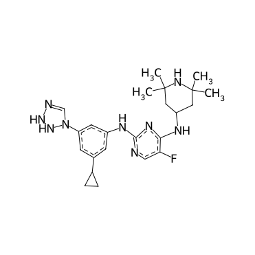 CC1(C)CC(Nc2nc(Nc3cc(C4CC4)cc(N4C=NNN4)c3)ncc2F)CC(C)(C)N1